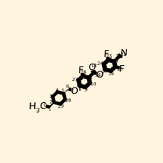 CC[C@H]1CC[C@H](COc2ccc(C(=O)Oc3cc(F)c(C#N)c(F)c3)c(F)c2)CC1